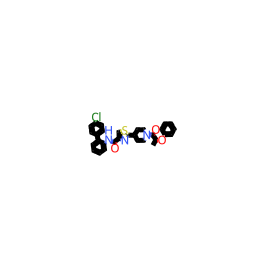 CC(Oc1ccccc1)C(=O)N1CCC(c2nc(C(=O)Nc3ccccc3-c3ccc(Cl)cc3)cs2)CC1